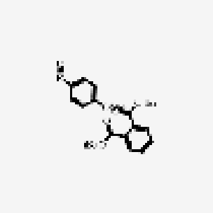 CC(C)COC(=O)c1ccccc1C(=O)OCC(C)C.COc1ccc(P=O)cc1